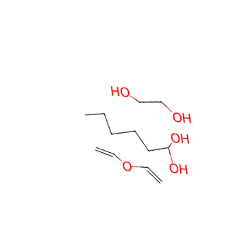 C=COC=C.CCCCCC(O)O.OCCO